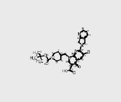 CC(C)(C)OC(=O)N1CCC(Cn2cc(C(=O)O)c(=O)c3cc(Cl)c(N4Cc5cccnc5C4)nc32)CC1